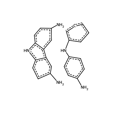 Nc1ccc(Nc2ccccc2)cc1.Nc1ccc2[nH]c3ccc(N)cc3c2c1